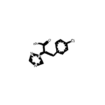 CC(C)(C)C(=O)/C(=C\c1ccc(Cl)cc1)n1cncn1